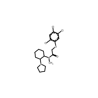 CN(C(=O)COc1cc(Cl)c(Cl)cc1Cl)C1CCCCC1N1CCCC1